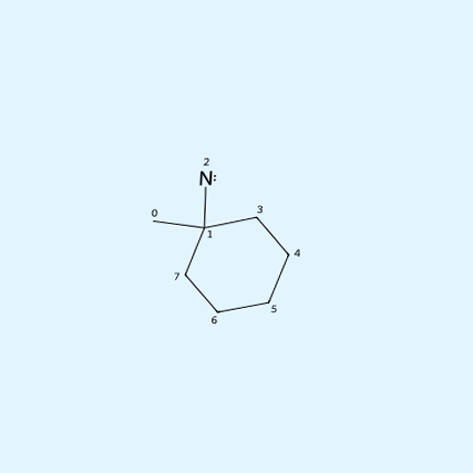 CC1([N])CCCCC1